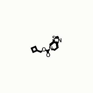 O=C(OCC1CCC1)N1C=c2scnc2=CC1